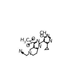 COc1ncnc(C2CC2)c1-c1nc2c(c(S(C)(=O)=O)n1)CN(CC#N)CC2